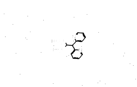 O=C(O)C(C(=O)O)C(c1ccccn1)c1ccccn1